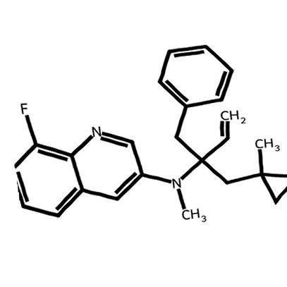 C=CC(Cc1ccccc1)(CC1(C)CC1)N(C)c1cnc2c(F)cccc2c1